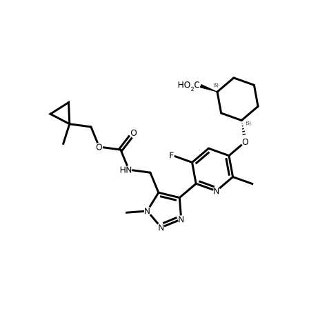 Cc1nc(-c2nnn(C)c2CNC(=O)OCC2(C)CC2)c(F)cc1O[C@H]1CCC[C@H](C(=O)O)C1